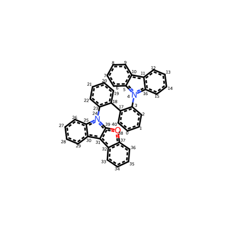 c1ccc(-n2c3ccccc3c3ccccc32)c(-c2ccccc2-n2c3ccccc3c3c4ccccc4oc32)c1